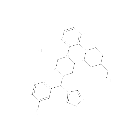 Cl.OCC1CCN(c2nccnc2N2CCN(C(c3cn[nH]c3)c3cccc(F)c3)CC2)CC1